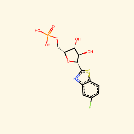 O=P(O)(O)OC[C@H]1O[C@@H](c2nc3cc(F)ccc3s2)[C@H](O)[C@H]1O